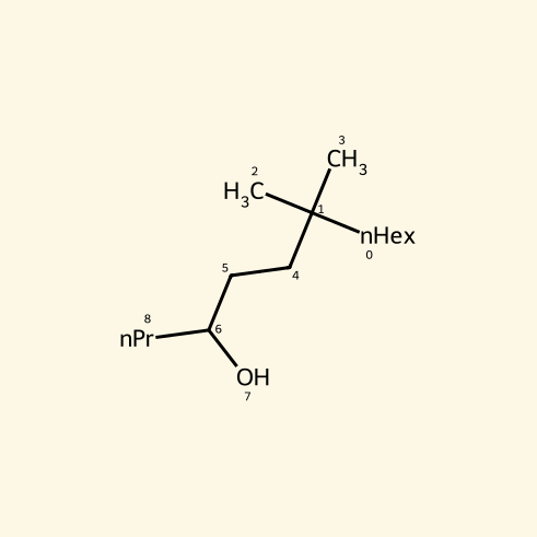 CCCCCCC(C)(C)CCC(O)CCC